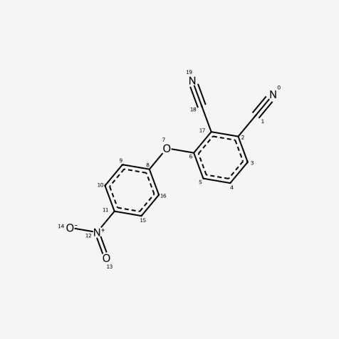 N#Cc1cccc(Oc2ccc([N+](=O)[O-])cc2)c1C#N